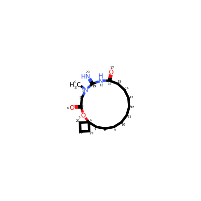 CN1CC(=O)OC2(CCCCCCCCCC(=O)NC1=N)CCC2